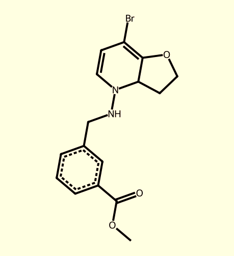 COC(=O)c1cccc(CNN2C=CC(Br)=C3OCCC32)c1